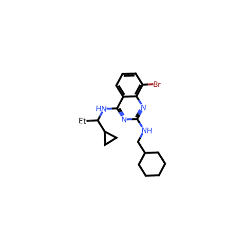 CCC(Nc1nc(NCC2CCCCC2)nc2c(Br)cccc12)C1CC1